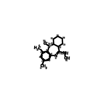 Cc1cc(C)c2c(c1)N=C(NO)C1CCCCC1[S+]2[O-]